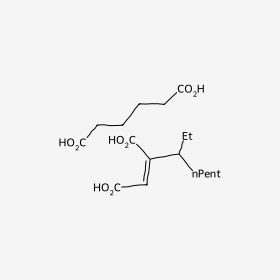 CCCCCC(CC)/C(=C/C(=O)O)C(=O)O.O=C(O)CCCCC(=O)O